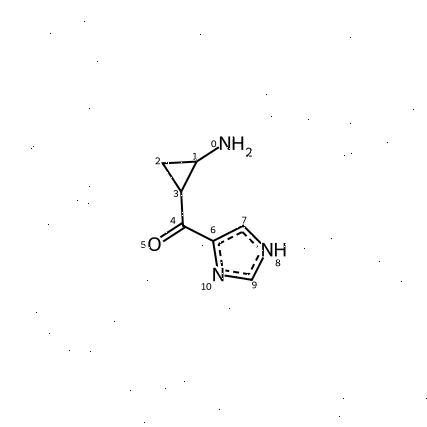 NC1CC1C(=O)c1c[nH]cn1